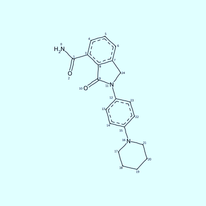 NC(=O)c1cccc2c1C(=O)N(c1ccc(N3CCCCC3)cc1)C2